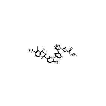 C[C@@H](NC(=O)c1ccc(=O)n(-c2cncc(-c3cnnn3C3CN(C(=O)OC(C)(C)C)C3)c2)n1)c1cccc(C(F)(F)F)c1F